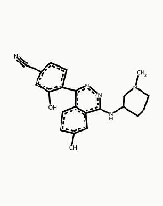 Cc1ccc2c(-c3ccc(C#N)cc3O)nnc(NC3CCCN(C)C3)c2c1